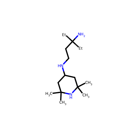 CCC(N)(CC)CCNC1CC(C)(C)NC(C)(C)C1